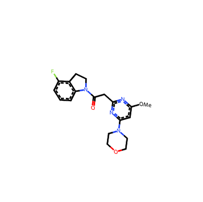 COc1cc(N2CCOCC2)nc(CC(=O)N2CCc3c(F)cccc32)n1